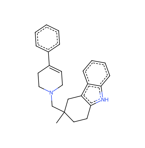 CC1(CN2CC=C(c3ccccc3)CC2)CCc2[nH]c3ccccc3c2C1